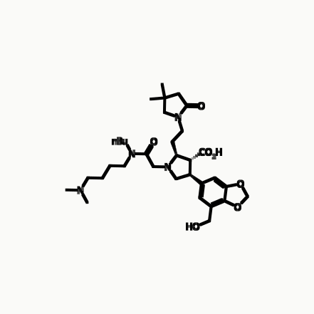 CCCCN(CCCCN(C)C)C(=O)CN1C[C@H](c2cc(CO)c3c(c2)OCO3)[C@@H](C(=O)O)[C@@H]1CCN1CC(C)(C)CC1=O